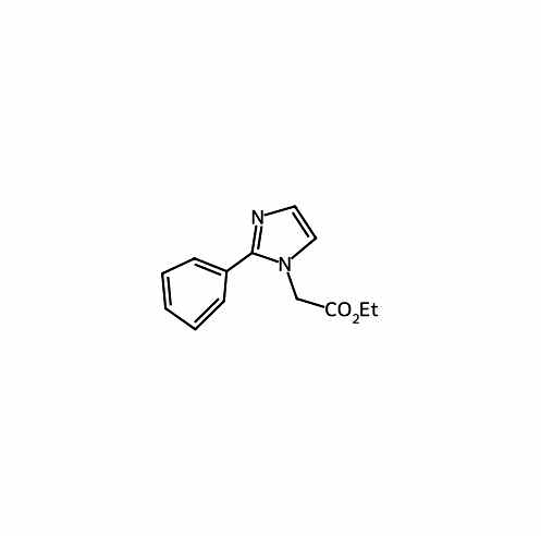 CCOC(=O)Cn1ccnc1-c1ccccc1